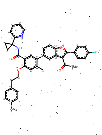 CNC(=O)c1c(-c2ccc(F)cc2)oc2ccc(-c3cc(C(=O)NC4(c5ccccn5)CC4)c(OCCc4ccc(OC)cc4)cc3C)cc12